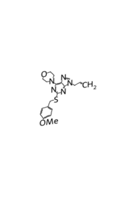 C=CCn1cnc2c(N3CCOCC3)nc(SCc3ccc(OC)cc3)nc21